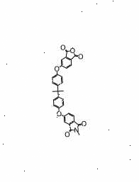 CN1C(=O)c2ccc(Oc3ccc(C(C)(C)c4ccc(Oc5ccc6c(c5)C(=O)OC6=O)cc4)cc3)cc2C1=O